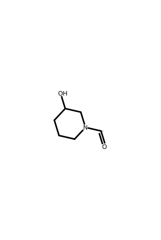 O=[C]N1CCCC(O)C1